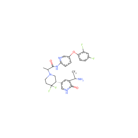 CC(C(=O)Nc1ccc(Oc2ccc(F)cc2F)cn1)N1CCC(F)(F)[C@@H](c2c[nH]c(=O)c(C(N)C(F)(F)F)c2)C1